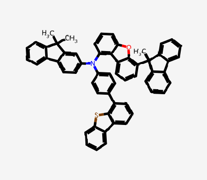 CC1(C)c2ccccc2-c2ccc(N(c3ccc(-c4cccc5c4sc4ccccc45)cc3)c3cccc4oc5c(C6(C)c7ccccc7-c7ccccc76)cccc5c34)cc21